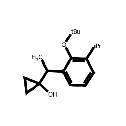 CC(C)c1cccc(C(C)C2(O)CC2)c1OC(C)(C)C